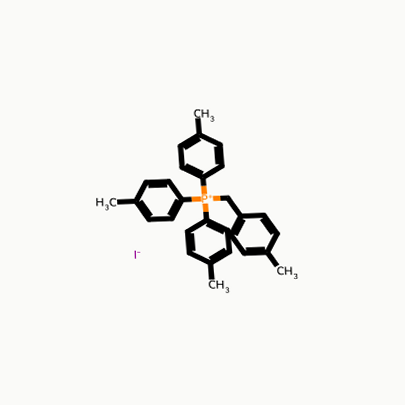 Cc1ccc(C[P+](c2ccc(C)cc2)(c2ccc(C)cc2)c2ccc(C)cc2)cc1.[I-]